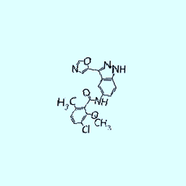 COc1c(Cl)ccc(C)c1C(=O)Nc1ccc2[nH]nc(-c3cnco3)c2c1